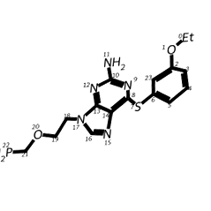 CCOc1cccc(Sc2nc(N)nc3c2ncn3CCOCP)c1